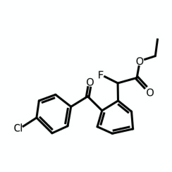 CCOC(=O)C(F)c1ccccc1C(=O)c1ccc(Cl)cc1